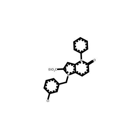 CCOC(=O)c1cc2c(ccc(=O)n2-c2ccccc2)n1Cc1cccc(Cl)c1